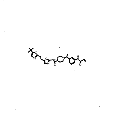 C=CC(=O)Nc1cccc(C(C)N2CCC(C(=O)Nc3ncc(SCc4ncc(C(C)(C)C)o4)s3)CC2)c1